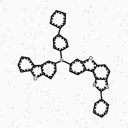 c1ccc(-c2ccc(N(c3ccc4c(c3)oc3ccc5sc(-c6ccccc6)nc5c34)c3ccc4oc5ccccc5c4c3)cc2)cc1